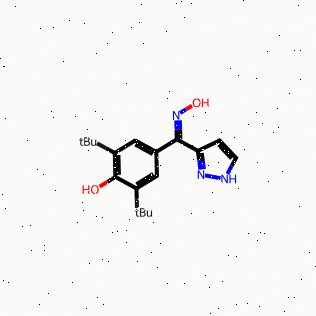 CC(C)(C)c1cc(C(=NO)c2cc[nH]n2)cc(C(C)(C)C)c1O